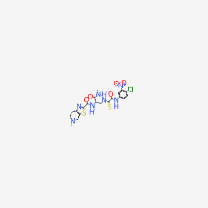 CN1CCc2nc(C(=O)NC(CNC(=S)C(=O)Nc3ccc(Cl)c([N+](=O)[O-])c3)C(=O)N(C)C)sc2C1